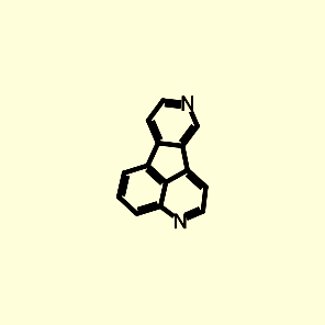 c1cc2c3c(ccnc3c1)-c1cnccc1-2